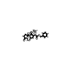 CC(=O)N1CC(NC(=O)OCc2ccccc2)C(=O)N1C1(C(=O)[O-])CCC(=O)O1.[Na+]